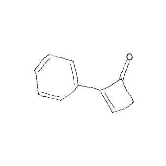 O=C1CC=C1c1ccccc1